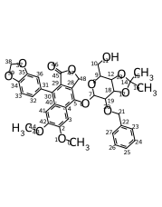 COc1cc2c(OC3OC(CO)C4OC(C)(C)OC4C3OCc3ccccc3)c3c(c(-c4ccc5c(c4)OCO5)c2cc1OC)C(=O)OC3